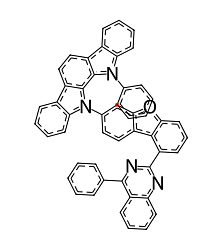 c1ccc(-c2nc(-c3cccc4oc5cc(-n6c7ccccc7c7ccc8c9ccccc9n(-c9ccccc9)c8c76)ccc5c34)nc3ccccc23)cc1